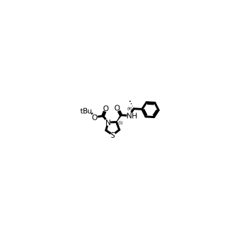 C[C@@H](NC(=O)[C@H]1CSCN1C(=O)OC(C)(C)C)c1ccccc1